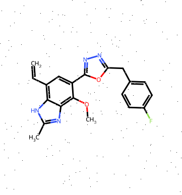 C=Cc1cc(-c2nnc(Cc3ccc(F)cc3)o2)c(OC)c2nc(C)[nH]c12